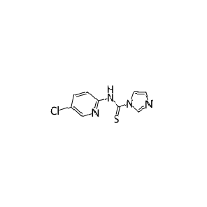 S=C(Nc1ccc(Cl)cn1)n1ccnc1